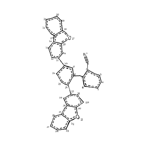 N#Cc1ccccc1-c1cc(-c2ccc3c(c2)oc2ccccc23)ccc1-c1ccc2oc3ccccc3c2c1